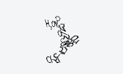 CN(C[C@@H]1CCCN1C(=O)CN1CCC[C@H](NS(=O)(=O)c2ccc(-c3ccc(Cl)s3)s2)C1=O)C1CCCC1